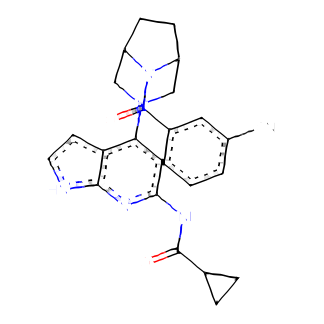 N#Cc1cccc(C(=O)N2C3CCC2CN(c2cc(NC(=O)C4CC4)nc4[nH]ccc24)C3)c1